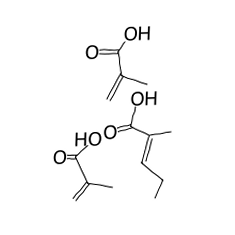 C=C(C)C(=O)O.C=C(C)C(=O)O.CC/C=C(\C)C(=O)O